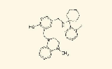 CN1CCN(Cc2cc(CNC3(c4ccccc4F)CCCCC3)ccc2O)c2ccccc21